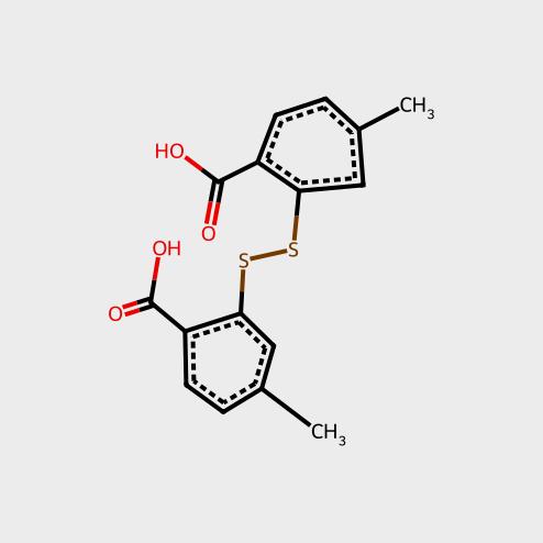 Cc1ccc(C(=O)O)c(SSc2cc(C)ccc2C(=O)O)c1